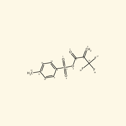 C=C(C(=O)OS(=O)(=O)c1ccc(C)cc1)C(F)(F)F